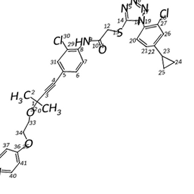 CC(C)(C#Cc1ccc(NC(=O)CSc2nnnn2-c2ccc(C3CC3)cc2Cl)c(Cl)c1)OCCOc1ccncc1